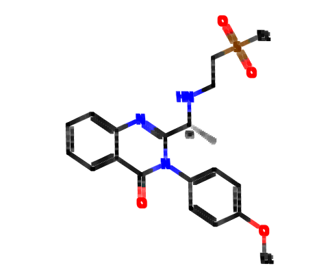 CCOc1ccc(-n2c([C@@H](C)NCCS(=O)(=O)CC)nc3ccccc3c2=O)cc1